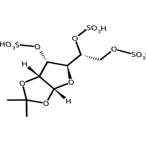 CC1(C)O[C@H]2O[C@H]([C@@H](COS(=O)(=O)O)OS(=O)(=O)O)[C@@H](OS(=O)(=O)O)[C@H]2O1